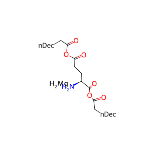 CCCCCCCCCCCC(=O)OC(=O)CC[C@H](N)C(=O)OC(=O)CCCCCCCCCCC.[MgH2]